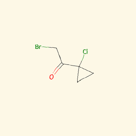 O=C(CBr)C1(Cl)CC1